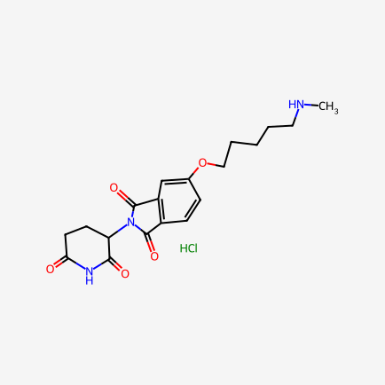 CNCCCCCOc1ccc2c(c1)C(=O)N(C1CCC(=O)NC1=O)C2=O.Cl